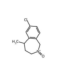 CC1CC[N+](=O)Cc2ccc(Cl)cc21